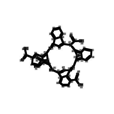 O=C(O)c1ccc2c3n(C(=O)O)c(c2c1)/N=C1\N=C(c2ccccc21)N(C(=O)O)c1[nH]c(c2ccccc12)/N=C1\N=C(N3)c2cccc(C(=O)O)c21